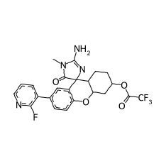 CN1C(=O)C2(N=C1N)c1cc(-c3cccnc3F)ccc1OC1CC(OC(=O)C(F)(F)F)CCC12